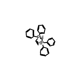 C1=C[PH](c2ccccc2)(c2ccccc2)C[PH]1(c1ccccc1)c1ccccc1